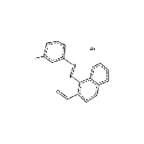 Cc1ccnc(N=Nc2c(C=O)ccc3ccccc23)c1.[Zn]